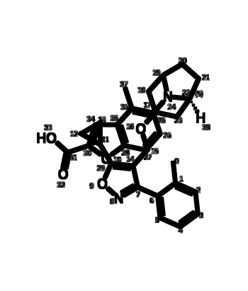 Cc1ccccc1-c1noc(C2CC2)c1COC1CC2CC[C@@H](C1)N2c1ccc2oc(C(=O)O)cc2c1C